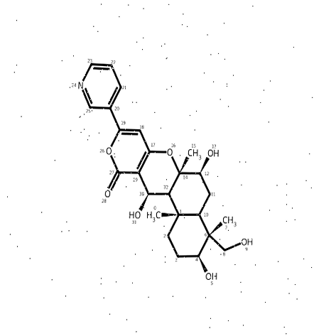 C[C@]12CC[C@H](O)[C@@](C)(CO)C1C[C@H](O)[C@@]1(C)Oc3cc(-c4cccnc4)oc(=O)c3[C@H](O)C21